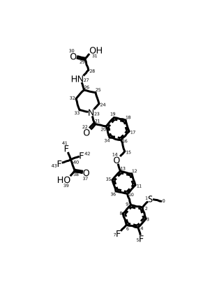 CSc1cc(F)c(F)cc1-c1ccc(OCc2cccc(C(=O)N3CCC(NCC(=O)O)CC3)c2)cc1.O=C(O)C(F)(F)F